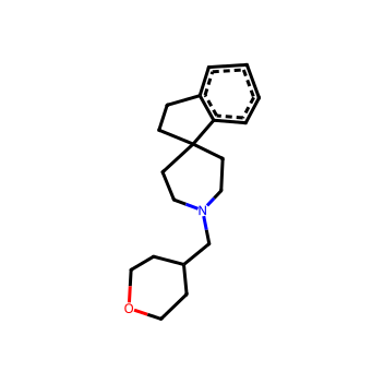 c1ccc2c(c1)CCC21CCN(CC2CCOCC2)CC1